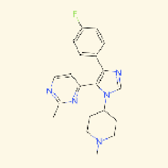 Cc1nccc(-c2c(-c3ccc(F)cc3)ncn2C2CCN(C)CC2)n1